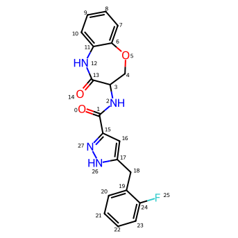 O=C(NC1COc2ccccc2NC1=O)c1cc(Cc2ccccc2F)[nH]n1